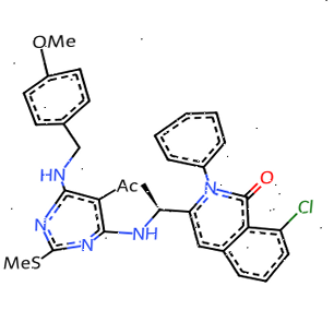 COc1ccc(CNc2nc(SC)nc(N[C@@H](C)c3cc4cccc(Cl)c4c(=O)n3-c3ccccc3)c2C(C)=O)cc1